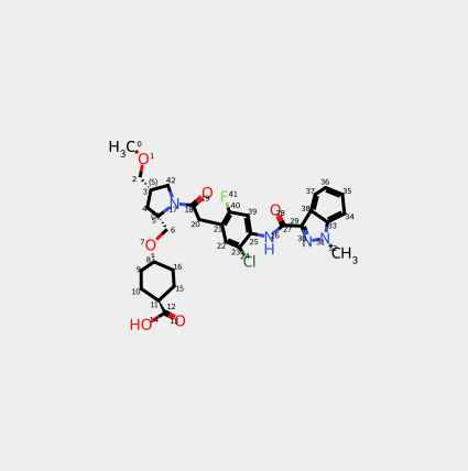 COC[C@H]1C[C@@H](CO[C@H]2CC[C@H](C(=O)O)CC2)N(C(=O)Cc2cc(Cl)c(NC(=O)c3nn(C)c4ccccc34)cc2F)C1